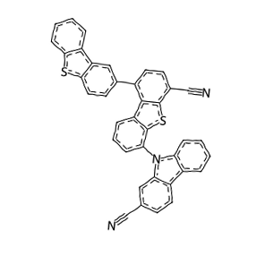 N#Cc1ccc2c3ccccc3n(-c3cccc4c3sc3c(C#N)ccc(-c5ccc6sc7ccccc7c6c5)c34)c2c1